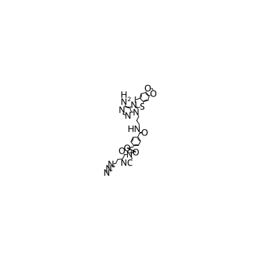 N#CCN(C(=O)CCCN=[N+]=[N-])S(=O)(=O)c1ccc(C(=O)NCCCn2c(Sc3cc4c(cc3I)OCO4)nc3c(N)ncnc32)cc1